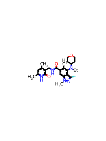 CCN(c1c(C)c(C(=O)NCc2c(C)cc(C)[nH]c2=O)cc2c1c(F)nn2C)C1CCOCC1